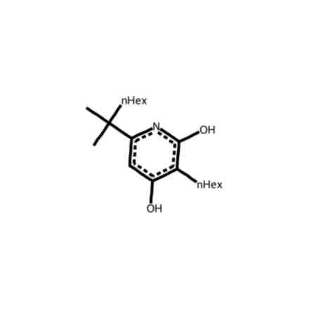 CCCCCCc1c(O)cc(C(C)(C)CCCCCC)nc1O